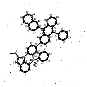 CCc1nc2cccc3c2n1-c1ccc(-c2ccc4c(-c5ccccc5)c5ccccc5c(-c5ccc6ccccc6c5)c4c2)cc1P3(=O)c1ccccc1